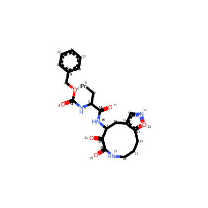 CC(C)CC(NC(=O)OCc1ccccc1)C(=O)NC1Cc2cnoc2CCCNC(=O)C1=O